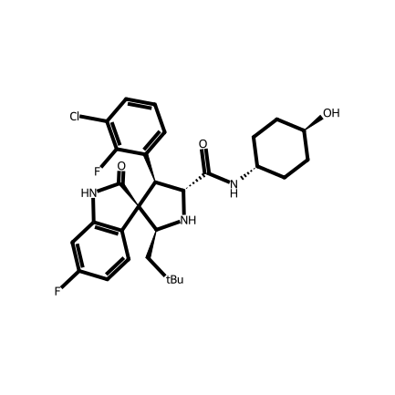 CC(C)(C)C[C@@H]1N[C@@H](C(=O)N[C@H]2CC[C@H](O)CC2)[C@H](c2cccc(Cl)c2F)[C@]12C(=O)Nc1cc(F)ccc12